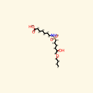 CCCCOCC(O)CCCCS(=O)(=O)NCCCCCCC(=O)O